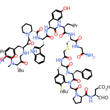 CCCC[C@@H](C(=O)N1CCC[C@@H]1C(=O)N[C@H](C=O)CC(=O)O)N(C)C(=O)[C@H](Cc1ccccc1)N(C)C(=O)[C@H](Cc1ccc(F)cc1)NC(=O)CSC[C@H](NC(=O)[C@H](CC(C)C)NC(=O)[C@H](Cc1ccc(O)cc1)NC(=O)[C@H](Cc1c[nH]c2ccccc12)NC(=O)[C@H]1CCCCN1C1OC1[C@H](Cc1ccc(O)cc1)NCC(=O)[C@H](C(C)CC)N(C)C(=O)[C@@H](N)C(C)C)C(=O)NCC(N)=O